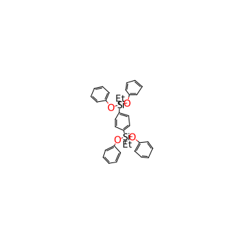 CC[Si](Oc1ccccc1)(Oc1ccccc1)c1ccc([Si](CC)(Oc2ccccc2)Oc2ccccc2)cc1